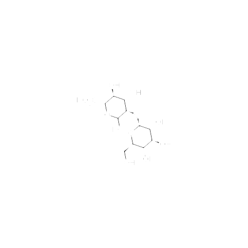 CC1O[C@H](C(=O)O)[C@@H](O)[C@H](O)[C@H]1O[C@@H]1O[C@H](CO)[C@@H](O)[C@H](O)[C@H]1O